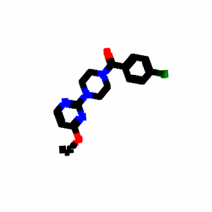 COc1ccnc(N2CCN(C(=O)c3ccc(Cl)cc3)CC2)n1